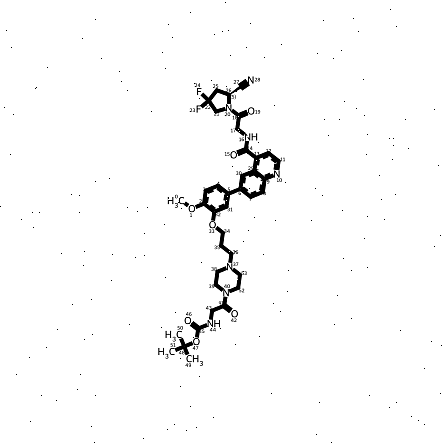 COc1ccc(-c2ccc3nccc(C(=O)NCC(=O)N4CC(F)(F)C[C@H]4C#N)c3c2)cc1OCCCN1CCN(C(=O)CNC(=O)OC(C)(C)C)CC1